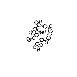 NC(=O)c1ccc(OC[C@@H]2CCCO2)c(F)c1-c1cc(C(CNC2CCC(C(=O)N3CCC(CC4CCN(C(=O)c5cccc(C6CCC(=O)NC6=O)c5)CC4)CC3)CC2)c2ccccc2)ccc1Cl